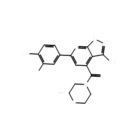 CCC[C@@H]1CN(C(=O)c2cc(-c3ccc(O)c(F)c3)nc3[nH]nc(C)c23)CCN1